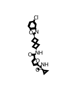 N=S(=O)(c1ccc(C(=O)N[C@H]2CC3(C2)C[C@H](c2nc4cc(Cl)ccc4o2)C3)o1)C1CC1